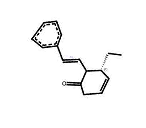 CC[C@@H]1C=CCC(=O)C1/C=C/c1ccccc1